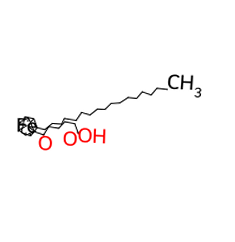 CCCCCCCCCCCCCCCCCC[C]12[CH]3[CH]4[CH]5[CH]1[Fe]45321678[CH]2[CH]1[CH]6[C]7(C(=O)CCCCC(=O)O)[CH]28